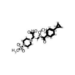 CON(C[C@@H](C(=O)O)N1CCN(S(C)(=O)=O)CC1)C(=O)c1ccc(C2CC2)cc1